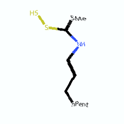 CCCCCCCCNC(SC)SS